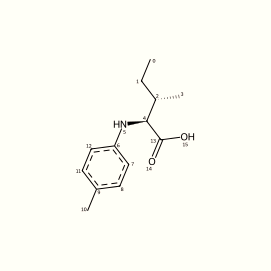 CC[C@H](C)[C@H](Nc1ccc(C)cc1)C(=O)O